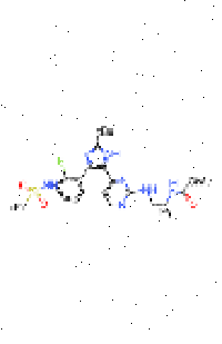 CCCS(=O)(=O)Nc1cccc(-c2nc(C(C)(C)C)[nH]c2-c2ccnc(NC[C@H](C)NC(=O)OC)n2)c1F